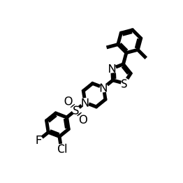 Cc1cccc(C)c1-c1csc(N2CCN(S(=O)(=O)c3ccc(F)c(Cl)c3)CC2)n1